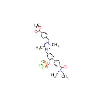 CCN(CC)C(=O)c1ccc(-c2ccc(CN3C[C@@H](C)N(Cc4ccc(C(=O)OC)cc4)C[C@@H]3C)cc2OS(=O)(=O)C(F)(F)F)cc1